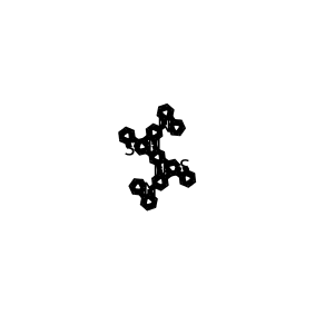 c1ccc2c(c1)sc1cc3c4cc5c(cc4n4c6cc(-n7c8ccccc8c8ccccc87)ccc6c(c12)c34)c1cc2sc3ccccc3c2c2c3ccc(-n4c6ccccc6c6ccccc64)cc3n5c12